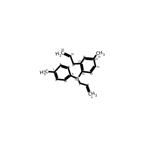 C=CCB(c1ccc(C)cc1)c1ccc(C)cc1CC=C